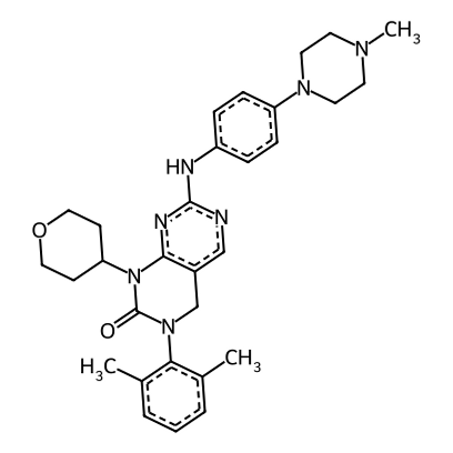 Cc1cccc(C)c1N1Cc2cnc(Nc3ccc(N4CCN(C)CC4)cc3)nc2N(C2CCOCC2)C1=O